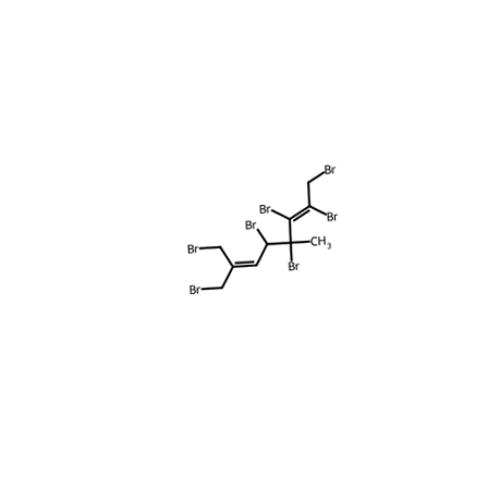 CC(Br)(C(Br)=C(Br)CBr)C(Br)C=C(CBr)CBr